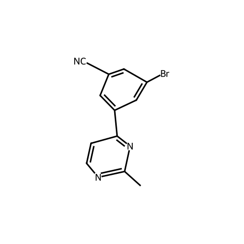 Cc1nccc(-c2cc(Br)cc(C#N)c2)n1